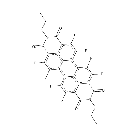 CCCN1C(=O)c2c(C)c(F)c3c4c(F)c(F)c5c6c(c(F)c(F)c(c7c(F)c(F)c(c2c37)C1=O)c64)C(=O)N(CCC)C5=O